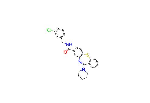 O=C(NCc1cccc(Cl)c1)c1ccc2c(c1)N=C(N1CCCCC1)c1ccccc1S2